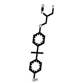 CC(C)(c1ccc(O)cc1)c1ccc(OCC(CF)P=O)cc1